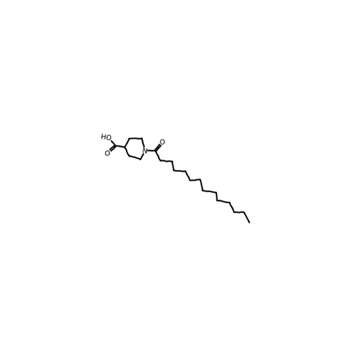 CCCCCCCCCCCCCC(=O)N1CCC(C(=O)O)CC1